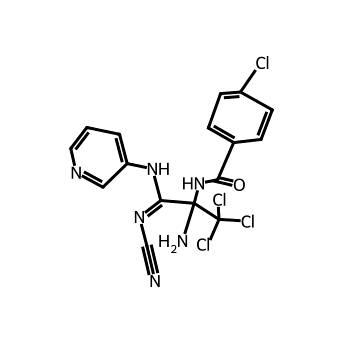 N#CN=C(Nc1cccnc1)C(N)(NC(=O)c1ccc(Cl)cc1)C(Cl)(Cl)Cl